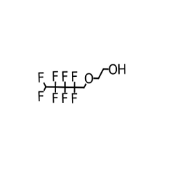 OCCOCC(F)(F)C(F)(F)C(F)(F)C(F)F